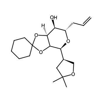 C=CC[C@@H]1O[C@@H]([C@H]2COC(C)(C)C2)C2OC3(CCCCC3)O[C@H]2[C@H]1O